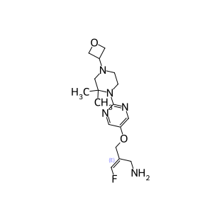 CC1(C)CN(C2COC2)CCN1c1ncc(OC/C(=C/F)CN)cn1